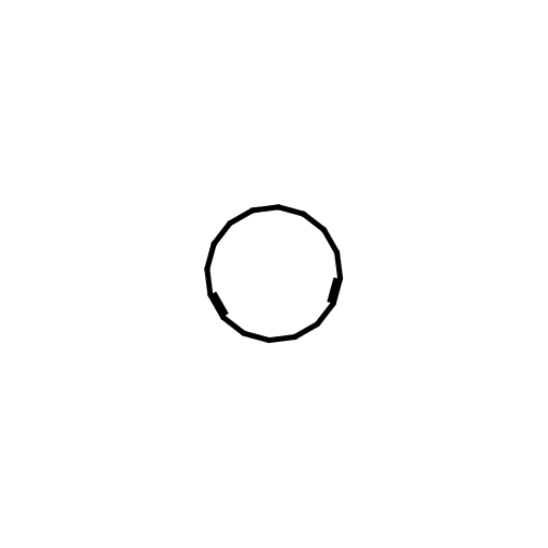 C1=CCCCCCCCCC=CCCCC1